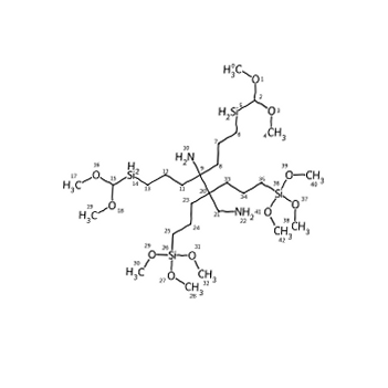 COC(OC)[SiH2]CCCC(N)(CCC[SiH2]C(OC)OC)C(CN)(CCC[Si](OC)(OC)OC)CCC[Si](OC)(OC)OC